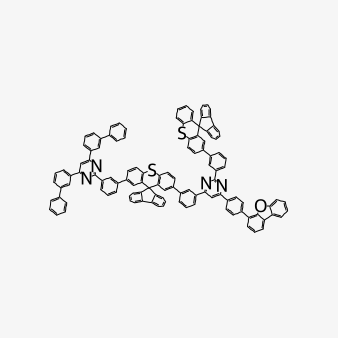 c1ccc(-c2cccc(-c3cc(-c4cccc(-c5ccccc5)c4)nc(-c4cccc(-c5ccc6c(c5)C5(c7cc(-c8cccc(-c9cc(-c%10ccc(-c%11cccc%12c%11oc%11ccccc%11%12)cc%10)nc(-c%10cccc(-c%11ccc%12c(c%11)C%11(c%13ccccc%13S%12)c%12ccccc%12-c%12ccccc%12%11)c%10)n9)c8)ccc7S6)c6ccccc6-c6ccccc65)c4)n3)c2)cc1